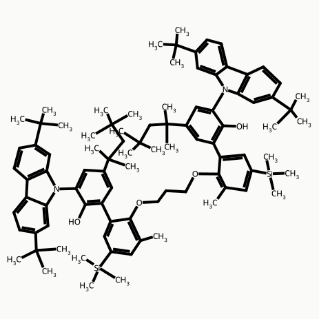 Cc1cc([Si](C)(C)C)cc(-c2cc(C(C)(C)CC(C)(C)C)cc(-n3c4cc(C(C)(C)C)ccc4c4ccc(C(C)(C)C)cc43)c2O)c1OCCCOc1c(C)cc([Si](C)(C)C)cc1-c1cc(C(C)(C)CC(C)(C)C)cc(-n2c3cc(C(C)(C)C)ccc3c3ccc(C(C)(C)C)cc32)c1O